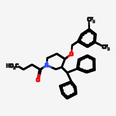 O=C(O)CCC(=O)N1CCC(OCc2cc(C(F)(F)F)cc(C(F)(F)F)c2)C(C(c2ccccc2)c2ccccc2)C1